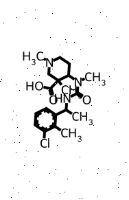 Cc1c(Cl)cccc1C(C)NC(=O)N(C)C1CCN(C)CC1(C)C(=O)O